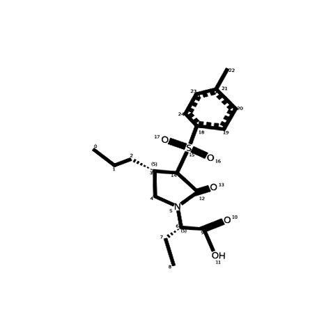 CCC[C@H]1CN([C@@H](CC)C(=O)O)C(=O)C1S(=O)(=O)c1ccc(C)cc1